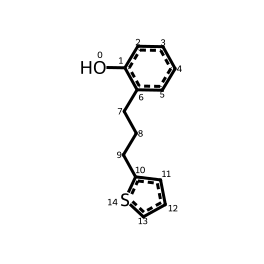 Oc1ccccc1CCCc1cccs1